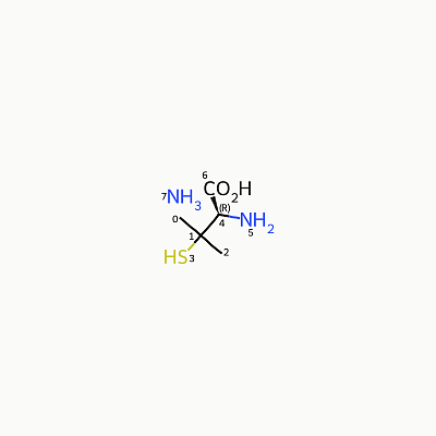 CC(C)(S)[C@H](N)C(=O)O.N